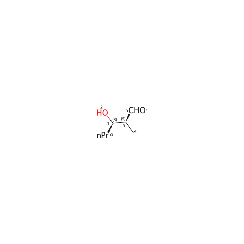 CCC[C@@H](O)[C@H](C)[C]=O